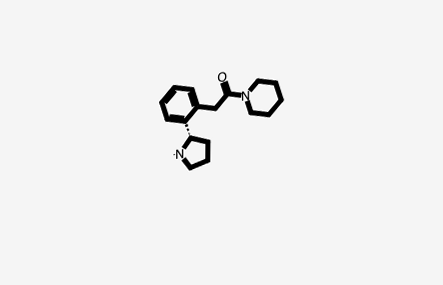 O=C(Cc1ccccc1[C@@H]1CCC[N]1)N1CCCCC1